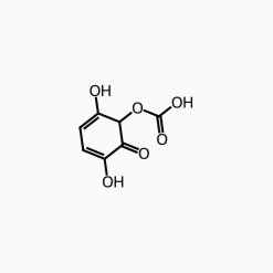 O=C(O)OC1C(=O)C(O)=CC=C1O